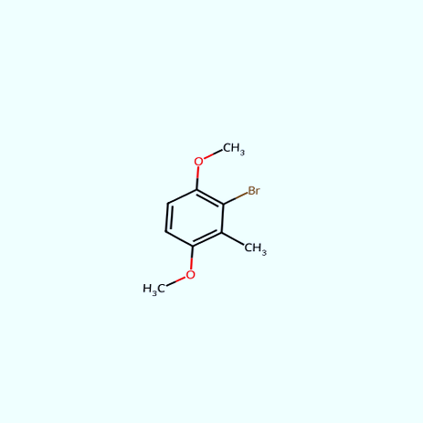 COc1ccc(OC)c(Br)c1C